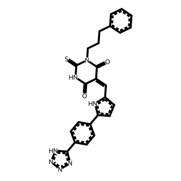 O=C1NC(=S)N(CCCc2ccccc2)C(=O)C1=Cc1ccc(-c2ccc(-c3nnn[nH]3)cc2)[nH]1